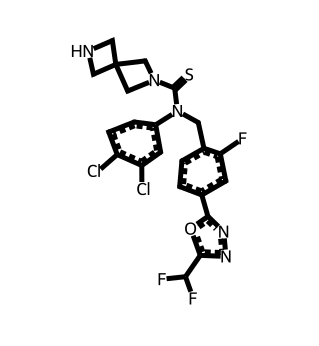 Fc1cc(-c2nnc(C(F)F)o2)ccc1CN(C(=S)N1CC2(CNC2)C1)c1ccc(Cl)c(Cl)c1